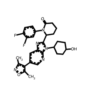 Cc1noc(C)c1-c1cnc2c(c1)nc(C1CCCC(=O)N1c1ccc(F)c(F)c1)n2C1CCC(O)CC1